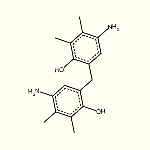 Cc1c(N)cc(Cc2cc(N)c(C)c(C)c2O)c(O)c1C